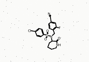 N#Cc1ccc(CN(C2CCCCNC2=O)S(=O)(=O)c2ccc(Cl)cc2)c(F)c1